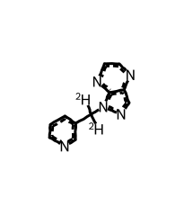 [2H]C([2H])(c1cccnc1)n1ncc2nccnc21